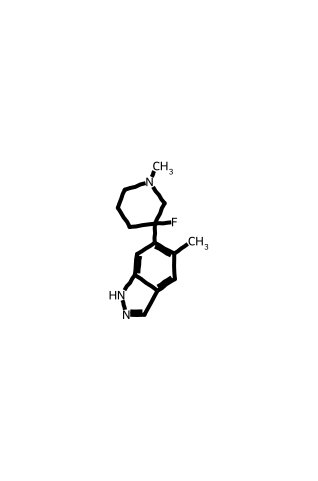 Cc1cc2cn[nH]c2cc1C1(F)CCCN(C)C1